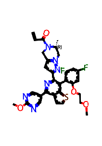 C=CC(=O)N1Cc2cc(-c3nc(-c4cnc(OC)nc4)c4ccsc4c3-c3c(F)cc(F)cc3OCCOC)nn2C[C@H]1C